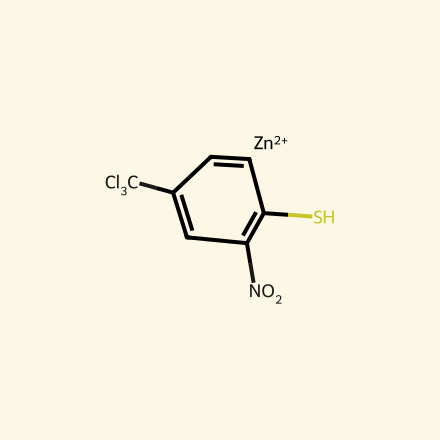 O=[N+]([O-])c1cc(C(Cl)(Cl)Cl)ccc1S.[Zn+2]